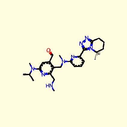 CNCc1nc(N(C)C(C)C)cc(C=O)c1CN(C)c1cccc(-c2nnc3n2[C@@H](C)CCC3)n1